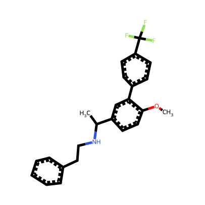 COc1ccc(C(C)NCCc2ccccc2)cc1-c1ccc(C(F)(F)F)cc1